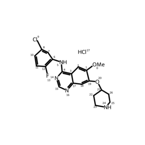 COc1cc2c(Nc3cc(Cl)ccc3F)ncnc2cc1OC1CCNCC1.Cl